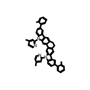 Cc1ccnc(-n2c3ccc(-c4ccccc4C)cc3c3cc4c(cc32)-c2cc3c(cc2CC4)c2cc(-c4ccccc4C)ccc2n3-c2cc(C)ccn2)c1